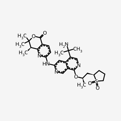 C[C@H](C[C@H]1CCCS1(=O)=O)Oc1ncc(C(C)(C)N)c2cc(Nc3ccc4c(n3)[C@@H](C)C(C)(C)OC4=O)ncc12